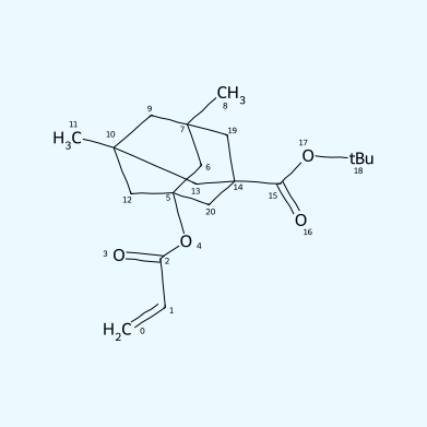 C=CC(=O)OC12CC3(C)CC(C)(C1)CC(C(=O)OC(C)(C)C)(C3)C2